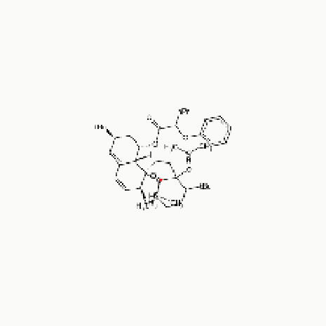 CCCC(Oc1ccccc1)C(=O)O[C@H]1C[C@H](C(C)(C)C)C=C2C=C[C@H](C)[C@](CCC3(O[SiH](C)C)C(=O)OCCC3C(C)(C)C)(O[SiH](C)C)[C@H]21